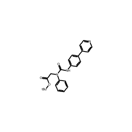 CC(C)(C)OC(=O)CN(C(=O)Nc1ccc(-c2ccncc2)cc1)c1ccccc1